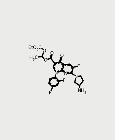 CCOC(=O)OC(C)OC(=O)c1cn(-c2ccc(F)cc2F)c2nc(N3CCC(N)C3)c(F)cc2c1=O